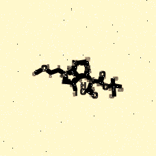 COCCn1cc(I)c2c(N(C(=O)O)C(=O)OC(C)(C)C)ncnc21